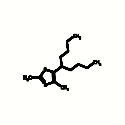 CCCCC(CCCC)c1sc(C)nc1C